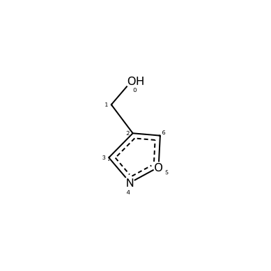 OCc1[c]noc1